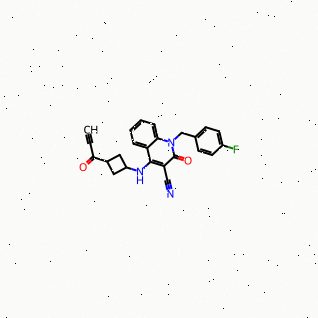 C#CC(=O)C1CC(Nc2c(C#N)c(=O)n(Cc3ccc(F)cc3)c3ccccc23)C1